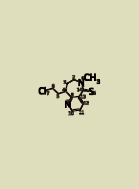 CN1CCC(CCCl)c2ncccc2C1=S